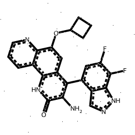 Nc1c(-c2cc(F)c(F)c3[nH]ncc23)c2cc(OC3CCC3)c3ncccc3c2[nH]c1=O